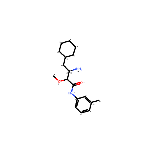 COC(C(=O)Nc1cccc(C)c1)[C@H](N)CC1CCCCC1